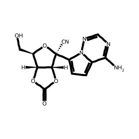 N#C[C@@]1(c2ccc3c(N)ncnn23)O[C@H](CO)[C@H]2OC(=O)O[C@H]21